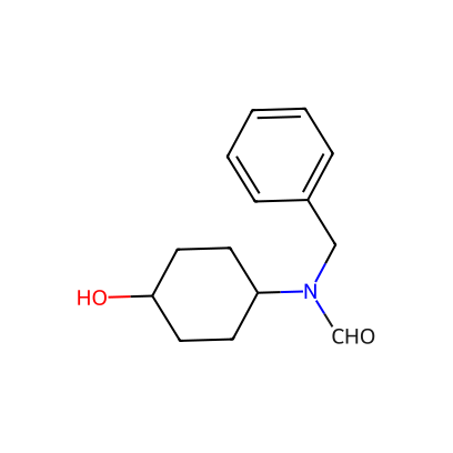 O=CN(Cc1ccccc1)C1CCC(O)CC1